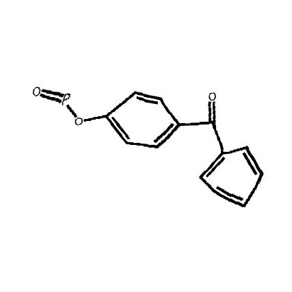 O=POc1ccc(C(=O)c2ccccc2)cc1